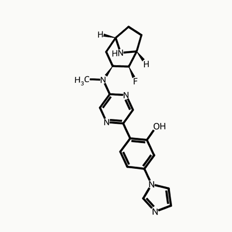 CN(c1cnc(-c2ccc(-n3ccnc3)cc2O)cn1)[C@H]1C[C@@H]2CC[C@@H](N2)[C@H]1F